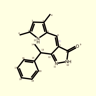 Cc1cc(C)c(/C=C2/C(=O)NN=C2C(C)c2ccccc2)[nH]1